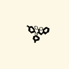 Cc1ccc(N(c2ccc(C)cc2)c2cc3ccccc3oc2=O)cc1